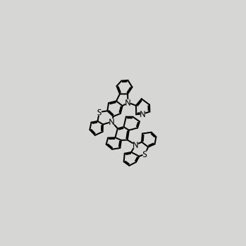 c1cncc(-n2c3ccccc3c3cc4c(cc32)N(c2c3ccccc3c(N3c5ccccc5Sc5ccccc53)c3ccccc23)c2ccccc2S4)c1